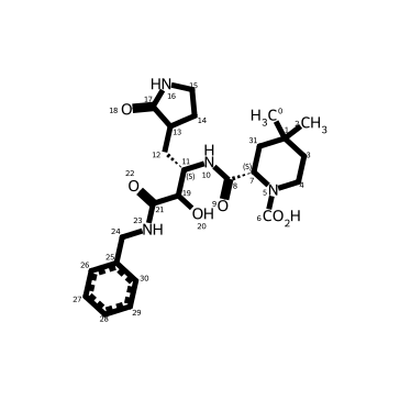 CC1(C)CCN(C(=O)O)[C@H](C(=O)N[C@@H](CC2CCNC2=O)C(O)C(=O)NCc2ccccc2)C1